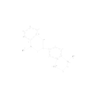 CC(C)N1CC(c2ccc3c(c2)NCCN3C(C)C)Cc2ccccc21